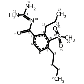 CCCCc1ccc(C(=O)N=C(N)N)c(CCC)c1S(C)(=O)=O